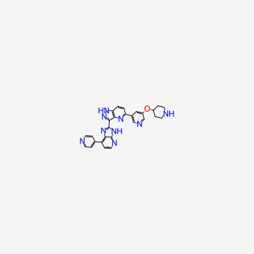 c1cc(-c2ccnc3[nH]c(-c4n[nH]c5ccc(-c6cncc(OC7CCNCC7)c6)nc45)nc23)ccn1